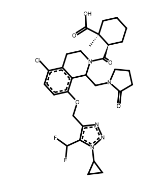 C[C@]1(C(=O)O)CCCC[C@H]1C(=O)N1CCc2c(Cl)ccc(OCc3nnn(C4CC4)c3C(F)F)c2C1CN1CCCC1=O